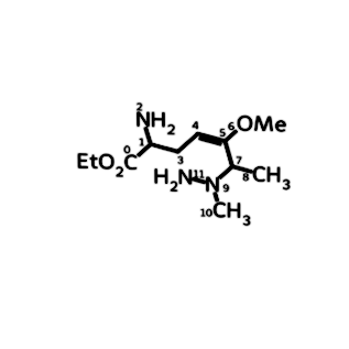 CCOC(=O)C(N)C/C=C(/OC)C(C)N(C)N